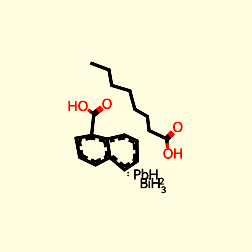 CCCCCCCC(=O)O.O=C(O)c1cccc2ccccc12.[BiH3].[PbH2]